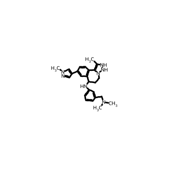 CC1=C2c3ccc(-c4cnn(C)c4)cc3C(Nc3cccc(CN(C)C)c3)CCN2NN1